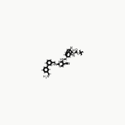 CC(C)(C)OC(=O)N[C@H]1[C@@H]2CC3C[C@H]1C[C@@](CNc1nc(NCc4cccc(-c5cccc(CN)c5)c4)ncc1C#N)(C3)C2